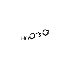 Oc1ccc(CSc2ccccc2)cc1